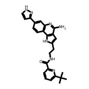 CC(C)(C)c1cccc(C(=O)NCCc2cc3c(N)nc4cc(-c5cc[nH]n5)ccc4c3[nH]2)n1